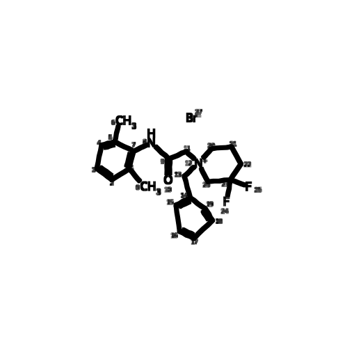 Cc1cccc(C)c1NC(=O)C[N+]1(Cc2ccccc2)CCCC(F)(F)C1.[Br-]